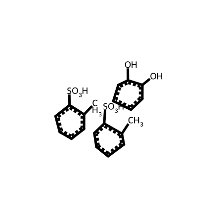 Cc1ccccc1S(=O)(=O)O.Cc1ccccc1S(=O)(=O)O.Oc1ccccc1O